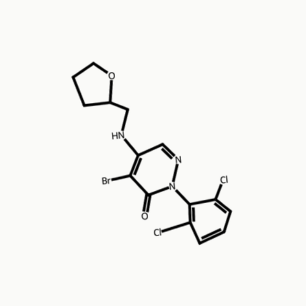 O=c1c(Br)c(NCC2CCCO2)cnn1-c1c(Cl)cccc1Cl